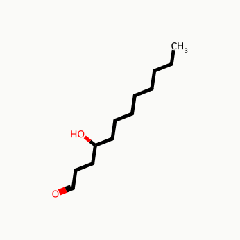 CCCCCCCCC(O)CCC=O